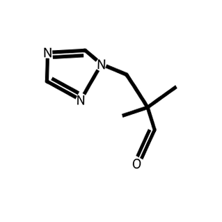 CC(C)(C=O)Cn1cncn1